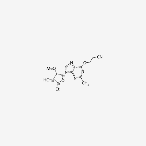 CC[C@H]1O[C@@H](n2cnc3c(OCCC#N)nc(C)nc32)C(OC)[C@H]1O